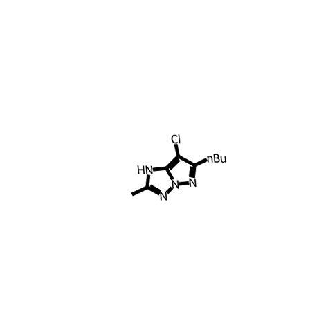 CCCCc1nn2nc(C)[nH]c2c1Cl